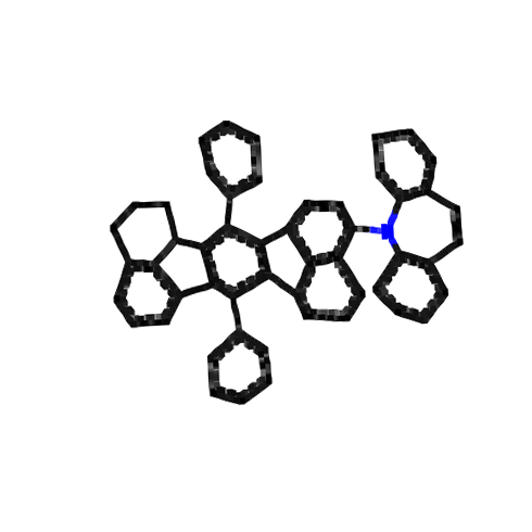 C1=Cc2ccccc2N(c2ccc3c4c(cccc24)-c2c(-c4ccccc4)c4c(c(-c5ccccc5)c2-3)C2CCCc3cccc-4c32)c2ccccc21